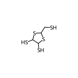 SCC1SC(S)C(S)S1